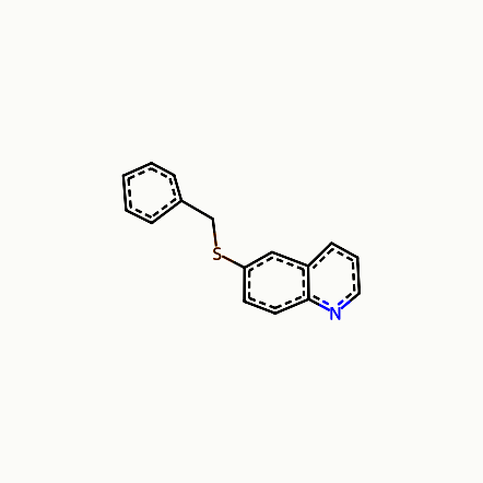 c1ccc(CSc2ccc3ncccc3c2)cc1